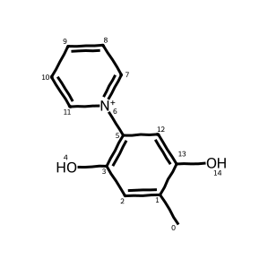 Cc1cc(O)c(-[n+]2ccccc2)cc1O